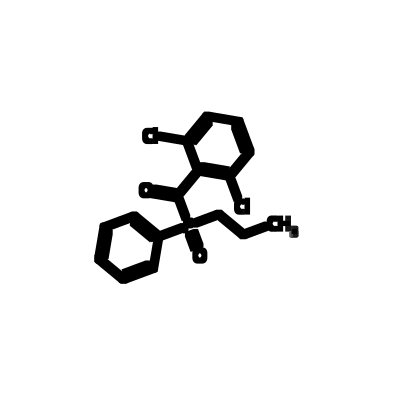 CCCP(=O)(C(=O)c1c(Cl)cccc1Cl)c1ccccc1